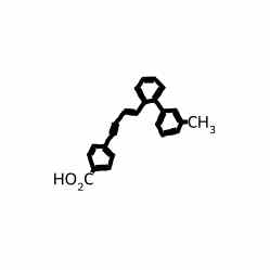 Cc1cccc(-c2ccccc2/C=C/C#Cc2ccc(C(=O)O)cc2)c1